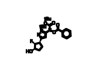 CC(C)(C)OC(=O)N(OC(=O)c1ccccc1)c1cc([C@@H]2CC[C@H](O)[C@@H]2F)nn1C(C)(C)C